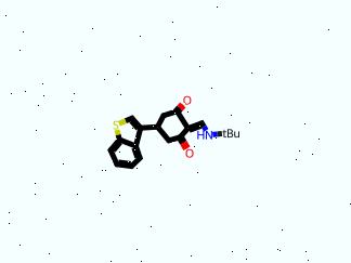 CC(C)(C)NC=C1C(=O)CC(c2csc3ccccc23)CC1=O